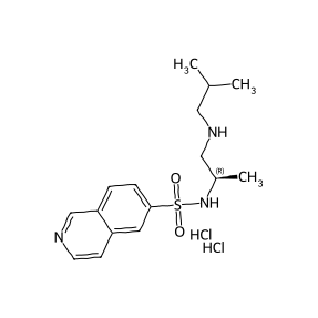 CC(C)CNC[C@@H](C)NS(=O)(=O)c1ccc2cnccc2c1.Cl.Cl